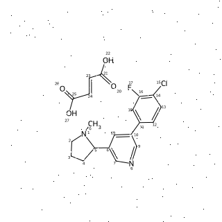 CN1CCCC1c1cncc(-c2ccc(Cl)c(F)c2)c1.O=C(O)C=CC(=O)O